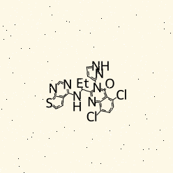 CC[C@H](Nc1ncnc2sccc12)c1nc2c(Cl)ccc(Cl)c2c(=O)n1-c1cc[nH]n1